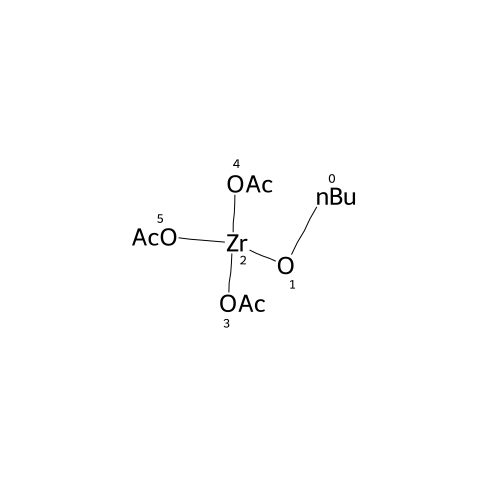 CCCC[O][Zr]([O]C(C)=O)([O]C(C)=O)[O]C(C)=O